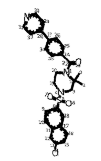 CC1(C)CN(S(=O)(=O)c2ccc3cc(Cl)ccc3c2)CCN1C(=O)c1ccc(-c2ccncc2)cc1